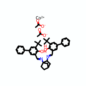 CC(=O)[O-].CC(=O)[O-].CC(C)(C)c1cc(-c2ccccc2)cc(C=NC2CC3CCC2(N=Cc2cc(-c4ccccc4)cc(C(C)(C)C)c2O)C3)c1O.[Co+2]